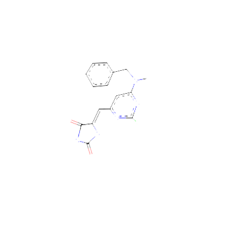 CN(Cc1ccccc1)c1cc(C=C2NC(=O)NC2=O)nc(Cl)n1